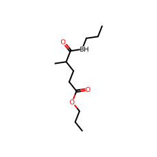 CCCBC(=O)C(C)CCC(=O)OCCC